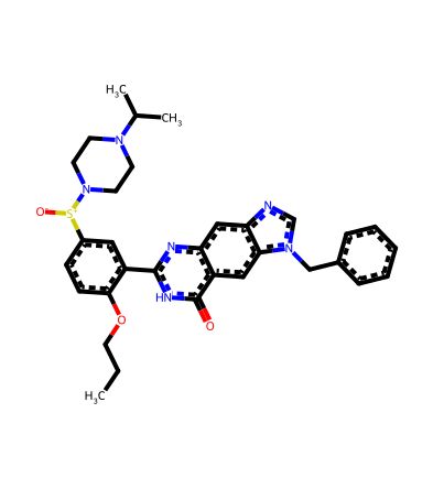 CCCOc1ccc([S+]([O-])N2CCN(C(C)C)CC2)cc1-c1nc2cc3ncn(Cc4ccccc4)c3cc2c(=O)[nH]1